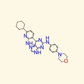 Nc1nc(C2CCCCC2)ccc1-c1nc(Nc2ccc(N3CCOCC3)cc2)nc2[nH]cnc12